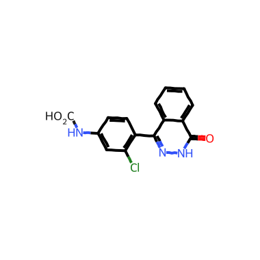 O=C(O)Nc1ccc(-c2n[nH]c(=O)c3ccccc23)c(Cl)c1